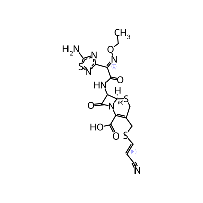 CCO/N=C(/C(=O)NC1C(=O)N2C(C(=O)O)=C(CS/C=C/C#N)CS[C@H]12)c1nsc(N)n1